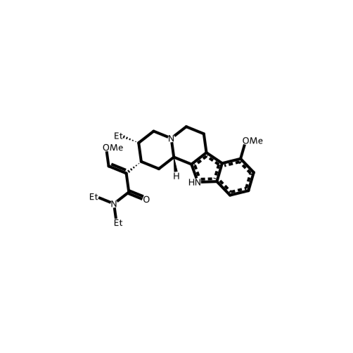 CC[C@@H]1CN2CCc3c([nH]c4cccc(OC)c34)[C@@H]2C[C@@H]1/C(=C\OC)C(=O)N(CC)CC